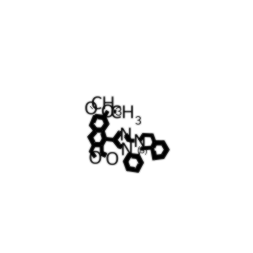 COc1cc2cc3c(c(-c4cnc(N5CCc6ccccc6[C@@H]5c5ccccc5)nc4)c2cc1OC)C(=O)OC3